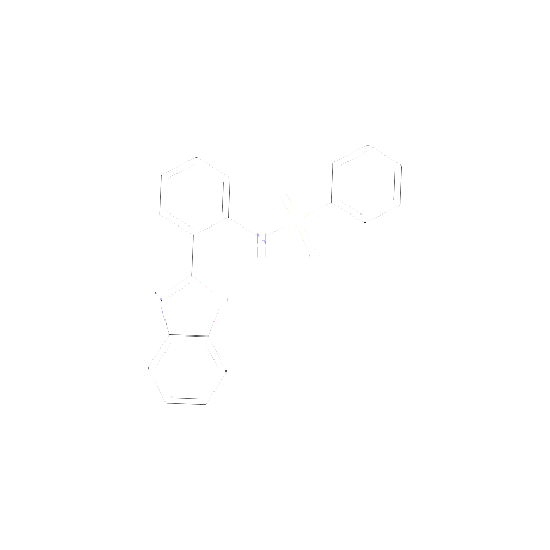 O=S(=O)(Nc1ccccc1-c1nc2ccccc2o1)c1ccccc1